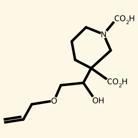 C=CCOCC(O)C1(C(=O)O)CCCN(C(=O)O)C1